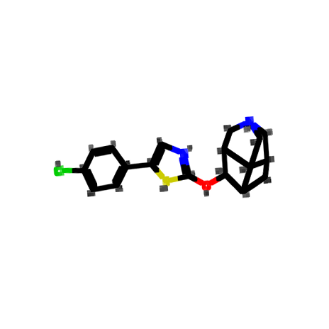 Clc1ccc(-c2cnc(OC3C4CC5CC3CN(C5)C4)s2)cc1